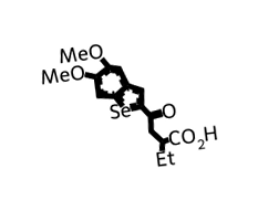 CCC(CC(=O)c1cc2cc(OC)c(OC)cc2[se]1)C(=O)O